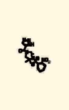 CC1(C)CN(C(=O)c2cnn[nH]2)CCN1S(=O)(=O)c1ccccc1[N+](=O)[O-]